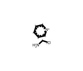 NCCl.c1ccncc1